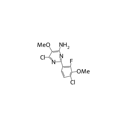 COc1c(N)nc(-c2ccc(Cl)c(OC)c2F)nc1Cl